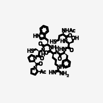 CC(=O)N[C@@H](CCS)C(=O)N[C@@H](CO)C(=O)N[C@H](Cc1ccccc1)C(=O)N[C@@H](CCCNC(=N)N)C(=O)N[C@@H](Cc1c[nH]c2ccccc12)C(=O)N[C@@H](CS)C(=O)N1CCC[C@H]1C(=O)N1CCC[C@H]1C(C)=O